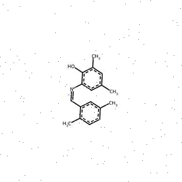 Cc1ccc(C)c(/C=N\c2cc(C)cc(C)c2O)c1